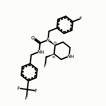 O=C(NCc1ccc(C(F)(F)F)cc1)N(Cc1ccc(F)cc1)[C@H]1CCNC[C@H]1CF